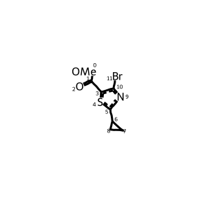 COC(=O)c1sc(C2CC2)nc1Br